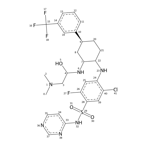 CN(C)CC(O)NC1C[C@@H](c2cccc(C(F)(F)F)c2)CCC1Nc1cc(F)c(S(=O)(=O)Nc2ccncn2)cc1Cl